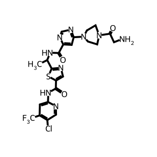 CC(NC(=O)c1cc(N2CCN(C(=O)CN)CC2)ncn1)c1ncc(C(=O)Nc2cc(C(F)(F)F)c(Cl)cn2)s1